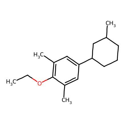 CCOc1c(C)cc(C2CCCC(C)C2)cc1C